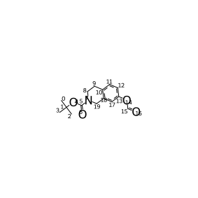 CC(C)(C)OC(=O)N1CCc2ccc(OC=O)cc2C1